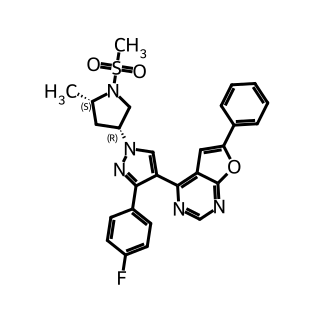 C[C@H]1C[C@@H](n2cc(-c3ncnc4oc(-c5ccccc5)cc34)c(-c3ccc(F)cc3)n2)CN1S(C)(=O)=O